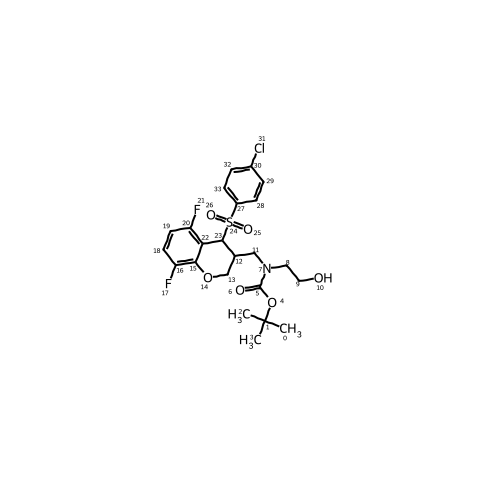 CC(C)(C)OC(=O)N(CCO)CC1COc2c(F)ccc(F)c2C1S(=O)(=O)c1ccc(Cl)cc1